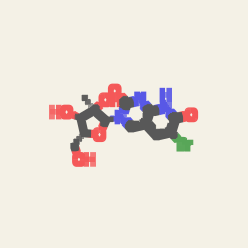 C[C@@]1(O)[C@H](O)[C@@H](CO)O[C@H]1n1cc2cc(Br)c(=O)[nH]c2nc1=O